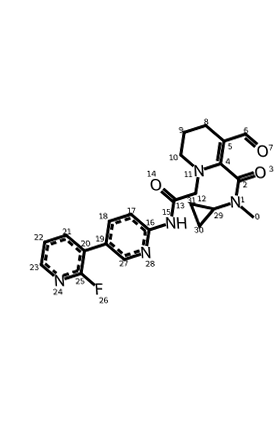 CN(C(=O)C1=C(C=O)CCCN1CC(=O)Nc1ccc(-c2cccnc2F)cn1)C1CC1